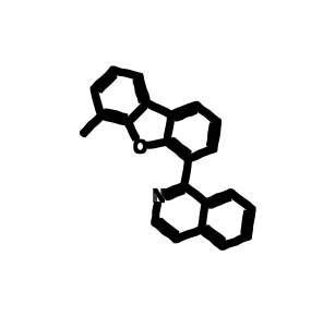 Cc1cccc2c1oc1c(-c3nccc4ccccc34)cccc12